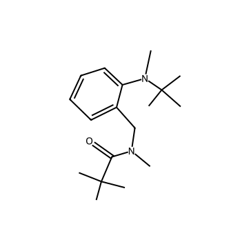 CN(Cc1ccccc1N(C)C(C)(C)C)C(=O)C(C)(C)C